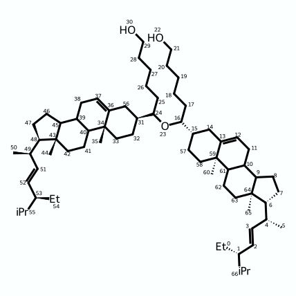 CC[C@H](C=C[C@@H](C)[C@H]1CCC2C3CC=C4C[C@@H](C(CCCCCO)OC(CCCCCO)[C@H]5CC[C@@]6(C)C(=CCC7C6CC[C@@]6(C)C7CC[C@@H]6[C@H](C)C=C[C@@H](CC)C(C)C)C5)CC[C@]4(C)C3CC[C@@]21C)C(C)C